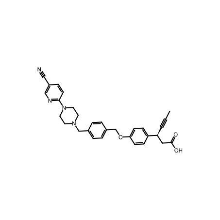 CC#C[C@@H](CC(=O)O)c1ccc(OCc2ccc(CN3CCN(c4ccc(C#N)cn4)CC3)cc2)cc1